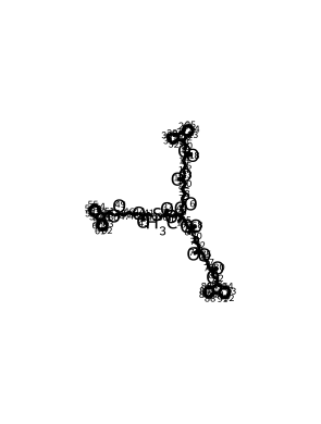 CCC(COC(=O)CSCCC(=O)OCCCC(=O)OCC1c2ccccc2-c2ccccc21)(COC(=O)CSCCC(=O)OCCCC(=O)OCC1c2ccccc2-c2ccccc21)COC(=O)CSCCC(=O)OCCCC(=O)OCC1c2ccccc2-c2ccccc21